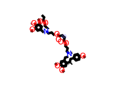 CCCOCCN(CCCOC(=O)/C=C\C(=O)OCCCN(C)CCc1cc(OC)c(OC)cc1[C@H](C)Cc1ccc(OC)cc1)Cc1cc(OC)c(OC)c(OC)c1